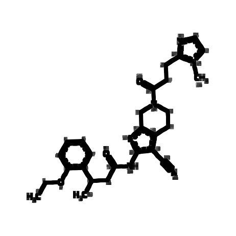 CCOc1ccccc1C(C)CC(=O)Nc1sc2c(c1C#N)CCN(C(=O)CCc1nccn1C)C2